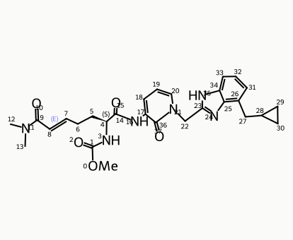 COC(=O)N[C@@H](CC/C=C/C(=O)N(C)C)C(=O)Nc1cccn(Cc2nc3c(CC4CC4)cccc3[nH]2)c1=O